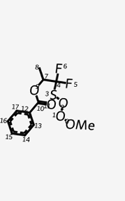 COOOSC(F)(F)C(C)OC(=O)c1ccccc1